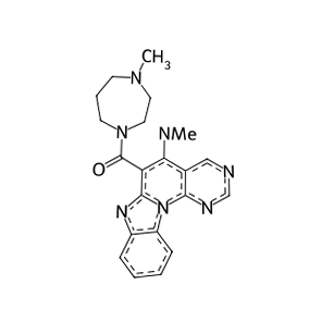 CNc1c(C(=O)N2CCCN(C)CC2)c2nc3ccccc3n2c2ncncc12